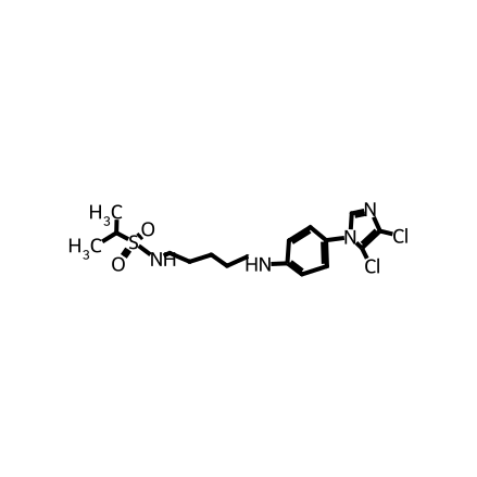 CC(C)S(=O)(=O)NCCCCCNc1ccc(-n2cnc(Cl)c2Cl)cc1